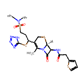 CCCN(CCC)S(=O)(=O)CCC(Sc1nnn[nH]1)C1=C(C(=O)O)N2C(=O)C(NC(=O)Cc3cccs3)[C@@H]2SC1